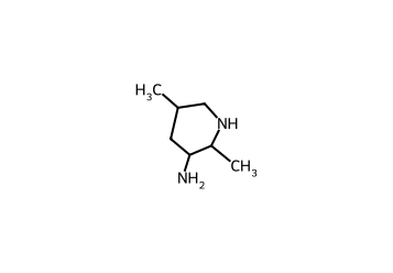 CC1CNC(C)C(N)C1